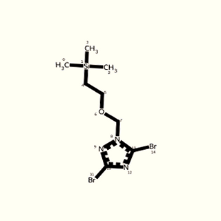 C[Si](C)(C)CCOCn1nc(Br)nc1Br